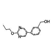 CCCOc1ncc(-c2cccc(CO)c2)cn1